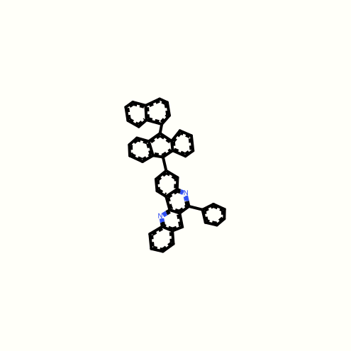 c1ccc(-c2nc3cc(-c4c5ccccc5c(-c5cccc6ccccc56)c5ccccc45)ccc3c3nc4ccccc4cc23)cc1